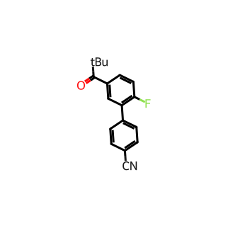 CC(C)(C)C(=O)c1ccc(F)c(-c2ccc(C#N)cc2)c1